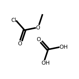 COC(=O)Cl.O=C(O)O